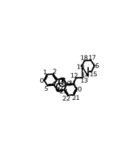 c1ccc2c(c1)C1CCC2c2c(CCN3CCCCC3)cccc21